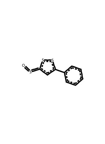 O=S=c1cc(-c2ccccc2)ss1